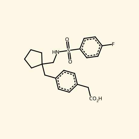 O=C(O)Cc1ccc(CC2(CNS(=O)(=O)c3ccc(F)cc3)CCCC2)cc1